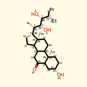 CC[C@@H](C(C)C)[C@@H](O)[C@H](O)[C@@H](C)[C@H]1CCC2C3CC(=O)C4C[C@@H](O)CC[C@]4(C)C3CC[C@@]21C